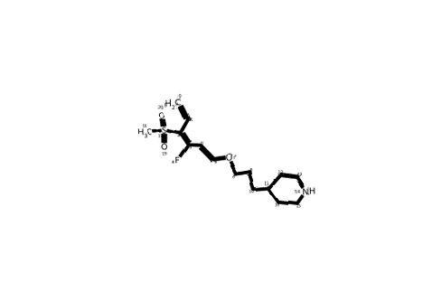 C=C/C(=C(F)\C=C\OCCCC1CCNCC1)S(C)(=O)=O